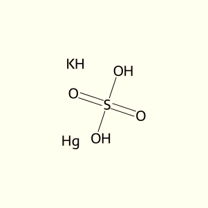 O=S(=O)(O)O.[Hg].[KH]